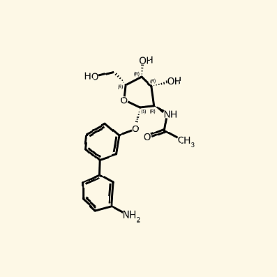 CC(=O)N[C@H]1[C@H](Oc2cccc(-c3cccc(N)c3)c2)O[C@H](CO)[C@H](O)[C@@H]1O